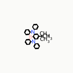 CC(C)(C)c1cc2c3c(c1)N(C1C=CC=CC1)c1ccccc1B3c1ccccc1N2c1ccccc1